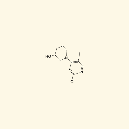 OC1CCCN(c2cc(Cl)ncc2I)C1